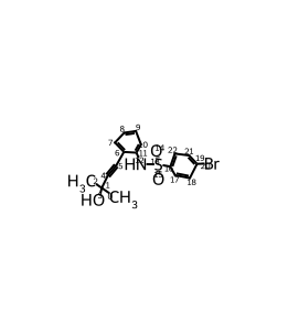 CC(C)(O)C#Cc1ccccc1NS(=O)(=O)c1ccc(Br)cc1